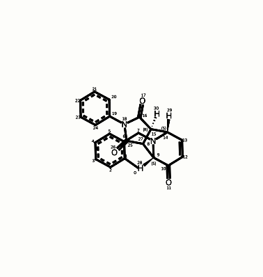 Cc1ccccc1CN1[C@@H]2C(=O)C=C[C@H]1[C@@H]1C(=O)N(c3ccccc3)C(=O)C12